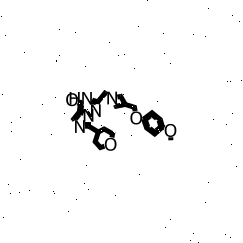 COc1ccc(OCC2CN(Cc3nn4c(C5CCOCC5)ncc4c(=O)[nH]3)C2)cc1